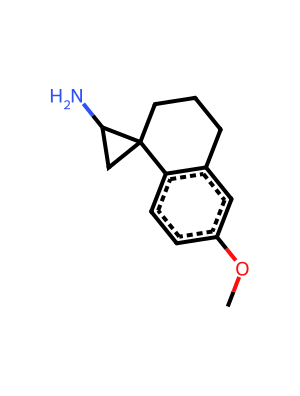 COc1ccc2c(c1)CCCC21CC1N